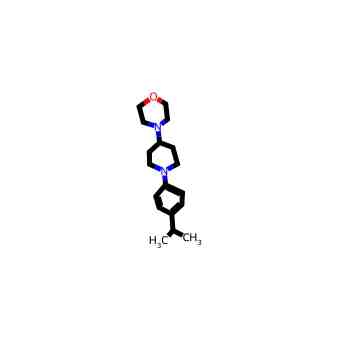 CC(C)c1ccc(N2CCC(N3CCOCC3)CC2)cc1